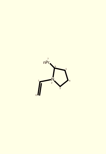 C=CN1CCCC1CCC